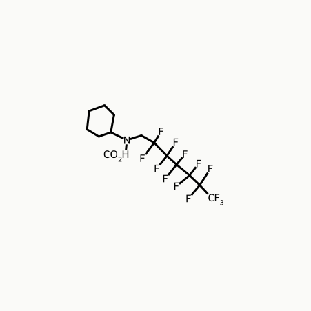 O=C(O)N(CC(F)(F)C(F)(F)C(F)(F)C(F)(F)C(F)(F)C(F)(F)F)C1CCCCC1